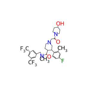 Cc1cc(F)ccc1C1CN(CC(=O)N2CCC(O)CC2)CCC1C(=O)N(C)Cc1cc(C(F)(F)F)cc(C(F)(F)F)c1